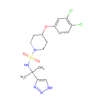 CC(C)(NS(=O)(=O)N1CCC(Oc2ccc(Cl)c(Cl)c2)CC1)c1c[nH]nn1